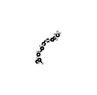 N#Cc1ccc(OC2CCC(NCc3ccc(N4CCC(CN5CCN(c6ccc7c(c6)CN([C@H]6CCC(=O)NC6=O)C7=O)CC5)CC4)c(F)c3)CC2)c2cccnc12